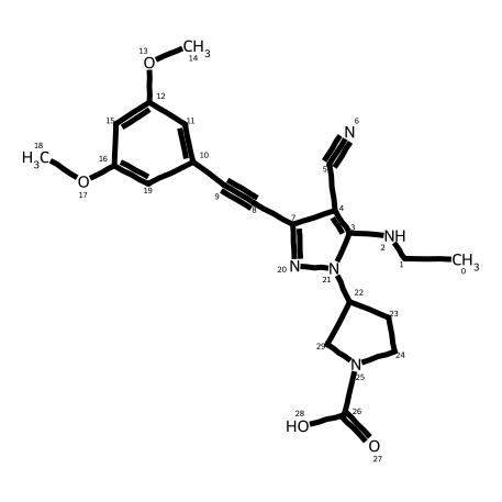 CCNc1c(C#N)c(C#Cc2cc(OC)cc(OC)c2)nn1C1CCN(C(=O)O)C1